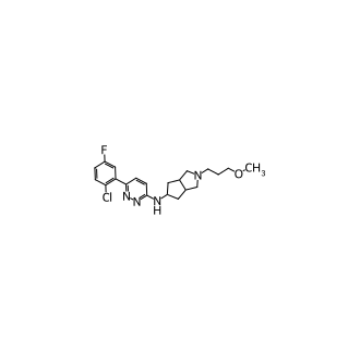 COCCCN1CC2CC(Nc3ccc(-c4cc(F)ccc4Cl)nn3)CC2C1